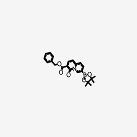 CC1(C)OB(c2ccc3ccc(C(=O)OCc4ccccc4)c(=O)n3c2)OC1(C)C